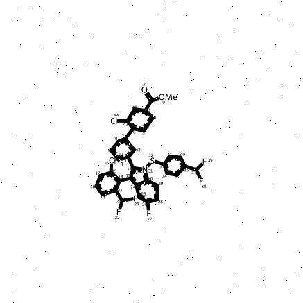 COC(=O)c1ccc(-c2cccc(-c3c(-c4c(C)cccc4C(F)F)c4cc(F)ccc4n3Sc3ccc(C(F)F)cc3)c2)c(Cl)c1